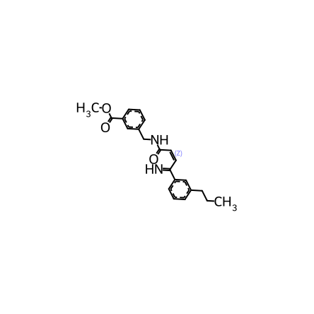 CCCc1cccc(C(=N)/C=C\C(=O)NCc2cccc(C(=O)OC)c2)c1